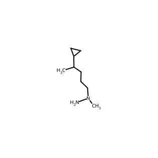 CC(CCCN(C)N)C1CC1